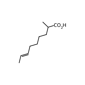 C/C=C/CCCCC(C)C(=O)O